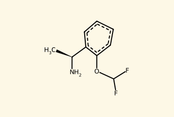 C[C@H](N)c1ccccc1OC(F)F